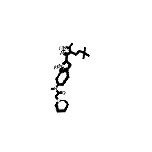 Cc1[nH]nc(-c2cc3c([nH]2)CC(N(C)C(=O)CN2CCCCC2)C=C3)c1CCC(C)(C)C